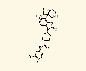 COc1cc(NC(=O)C2CCC(n3c(=O)[nH]c4c(C5(C(N)=O)CNCCO5)cccc43)CC2)ccc1C